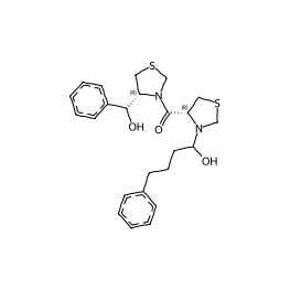 O=C([C@@H]1CSCN1C(O)CCCc1ccccc1)N1CSC[C@H]1C(O)c1ccccc1